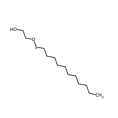 CCCCCCCCCCCSOCCO